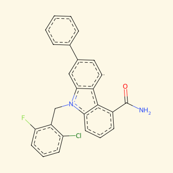 NC(=O)c1cccc2c1c1[c]cc(-c3ccccc3)cc1n2Cc1c(F)cccc1Cl